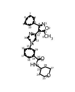 Cc1onc(-c2ccccc2)c1-c1cn(-c2cccc(C(=O)NC3CCOCC3)c2)cn1